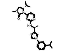 CC(C)c1cccc(-n2cnc([C@H](C)Nc3nccc(N4C(=O)N(C)C[C@@H]4C(C)C)n3)c2)c1